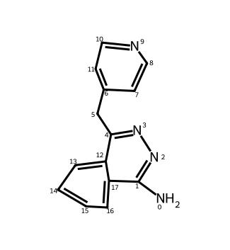 Nc1nnc(Cc2ccncc2)c2ccccc12